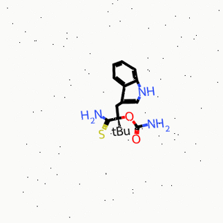 CC(C)(C)[C@@](Cc1c[nH]c2ccccc12)(OC(N)=O)C(N)=S